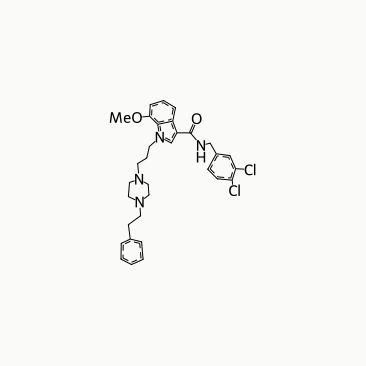 COc1cccc2c(C(=O)NCc3ccc(Cl)c(Cl)c3)cn(CCCN3CCN(CCc4ccccc4)CC3)c12